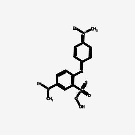 CCN(C)c1ccc(N=C2C=CC(=[N+](C)CC)C=C2)c(S(=O)(=S)OO)c1